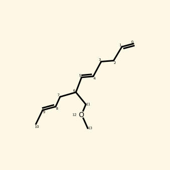 C=CCC/C=C/C(C/C=C/C)COC